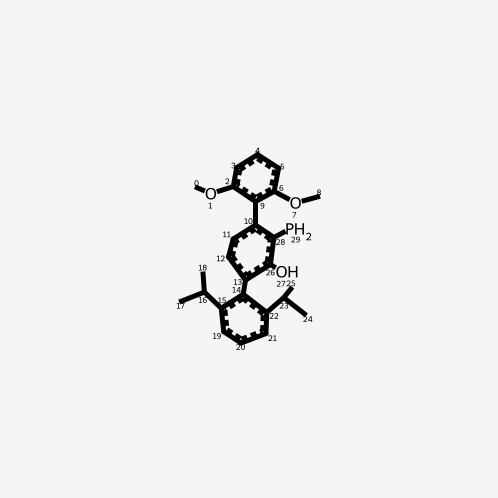 COc1cccc(OC)c1-c1ccc(-c2c(C(C)C)cccc2C(C)C)c(O)c1P